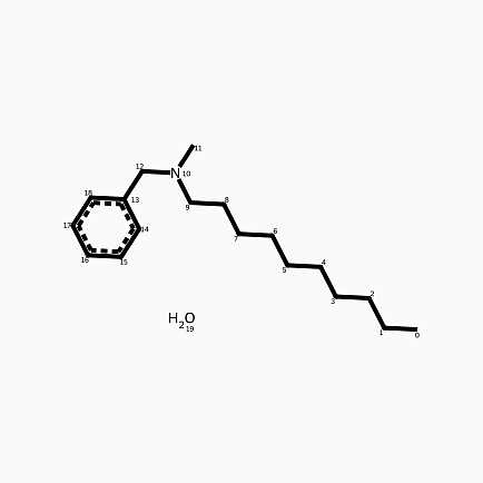 CCCCCCCCCCN(C)Cc1ccccc1.O